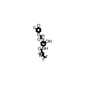 O=C(COc1ccc(Cl)c(F)c1)NC12CCC(NC(=O)c3cc(C(F)F)no3)(CC1)CC2O